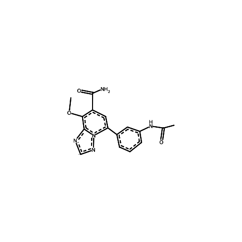 COc1c(C(N)=O)cc(-c2cccc(NC(C)=O)c2)n2n[c]nc12